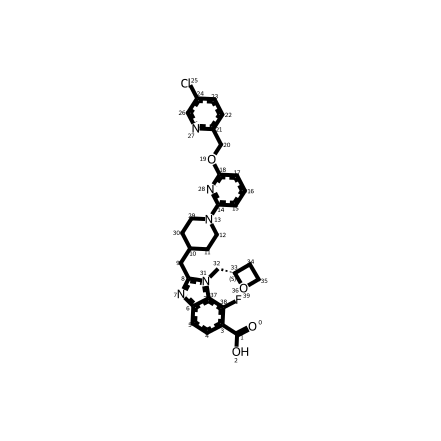 O=C(O)c1ccc2nc(CC3CCN(c4cccc(OCc5ccc(Cl)cn5)n4)CC3)n(C[C@@H]3CCO3)c2c1F